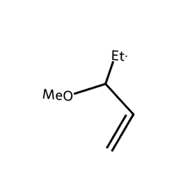 C=CC([CH]C)OC